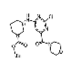 CC(C)(C)OC(=O)N1CCC[C@H](Nc2cc(C(=O)N3CCOCC3)nc(Cl)n2)C1